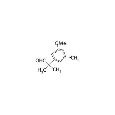 COc1cc(C)cc(C(C)(C)C=O)c1